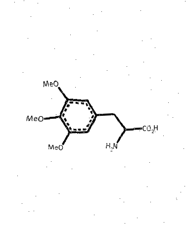 COc1cc(CC(N)C(=O)O)cc(OC)c1OC